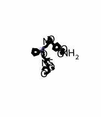 COC1(c2nc(CO/C(=C\Cc3ncoc3-c3ccc(S(N)(=O)=O)cc3)c3ccccc3)cs2)CCOCC1